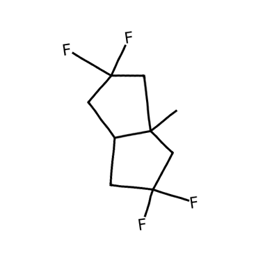 CC12CC(F)(F)CC1CC(F)(F)C2